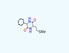 CSCCC1NC(=O)C(c2ccccc2)NC1=O